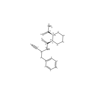 N#CC(Cc1ccncc1)NC(=O)[C@@H]1CCCC[C@@H]1C(N)=O